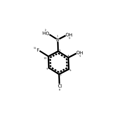 OB(O)c1c(O)cc(Cl)cc1F